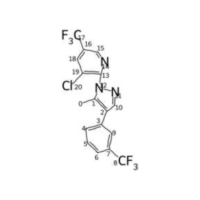 Cc1c(-c2cccc(C(F)(F)F)c2)cnn1-c1ncc(C(F)(F)F)cc1Cl